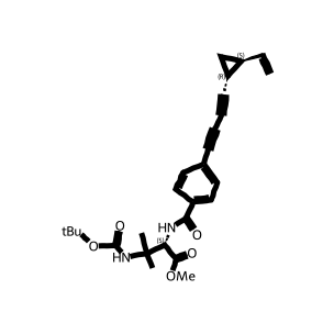 C=C[C@@H]1C[C@H]1C#CC#Cc1ccc(C(=O)N[C@H](C(=O)OC)C(C)(C)NC(=O)OC(C)(C)C)cc1